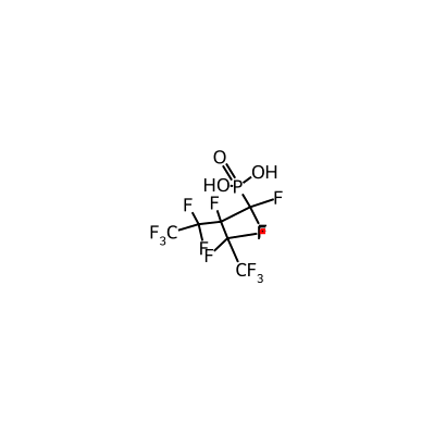 O=P(O)(O)C(F)(F)C(F)(C(F)(F)C(F)(F)F)C(F)(F)C(F)(F)F